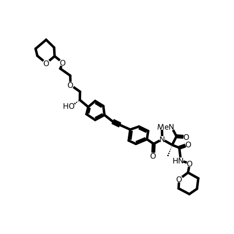 CNC(=O)[C@@](C)(C(=O)NOC1CCCCO1)N(C)C(=O)c1ccc(C#Cc2ccc([C@H](O)COCCOC3CCCCO3)cc2)cc1